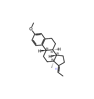 C/C=C1\CC[C@H]2[C@@H]3CCc4cc(OC)ccc4[C@H]3CC[C@]12C